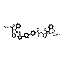 COC(=O)N[C@@H](C(=O)N1CCC[C@H]1CNC(=O)c1ccc(-c2ccc(-c3cnc([C@@H]4CCCN4C(=O)[C@H](NC(=O)OC)c4ccccc4)[nH]3)cn2)cc1)c1ccccc1